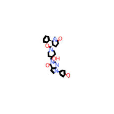 COc1ccc(-n2ccc3c(=O)n(CC4(O)CCN(C(=O)[C@H]5CCC(=O)N(C)[C@@H]5c5ccccc5)CC4)cnc32)cc1